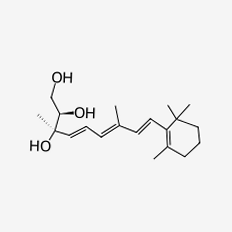 CC1=C(/C=C/C(C)=C/C=C/[C@@](C)(O)[C@H](O)CO)C(C)(C)CCC1